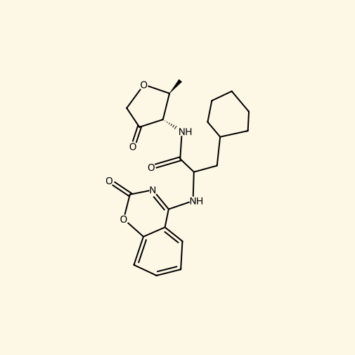 C[C@@H]1OCC(=O)[C@H]1NC(=O)C(CC1CCCCC1)Nc1nc(=O)oc2ccccc12